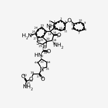 Cc1cc(Oc2ccccc2)ccc1[C@]1(N)C(=O)[C@H](N)[C@H]2c3c1ccc(N)c3S[C@H]2C(=O)N[C@@H]1CCN(C(=O)COC(N)=O)C1